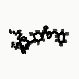 CCOC1(C)NN=C(C2CCN(C(=O)OCc3ccccc3)CC2)O1